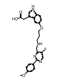 COc1ccc(-c2ncc(F)c(CNCCCOc3ccc4[nH]cc(CC(=O)O)c4c3)n2)cc1